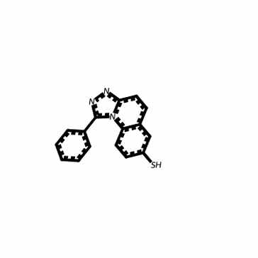 Sc1ccc2c(ccc3nnc(-c4ccccc4)n32)c1